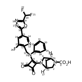 O=C(O)N1C[C@@H]2C[C@H]1CN2c1c(N(Cc2ncc(-c3nnc(C(F)F)o3)cc2F)c2ccccc2)c(=O)c1=O